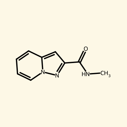 CNC(=O)c1cc2ccccn2n1